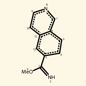 COC(=N)c1ccc2cnccc2c1